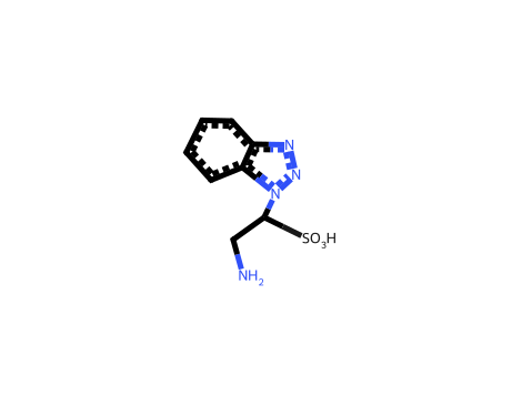 NCC(n1nnc2ccccc21)S(=O)(=O)O